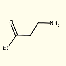 CCC(=O)[CH]CN